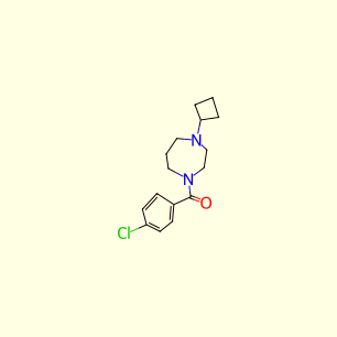 O=C(c1ccc(Cl)cc1)N1CCCN(C2CCC2)CC1